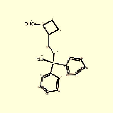 CC(C)(C)[Si](OCC1CC[C@@H]1C=O)(c1ccccc1)c1ccccc1